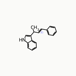 CC(/C=C/c1ccccc1)c1c[nH]c2ccccc12